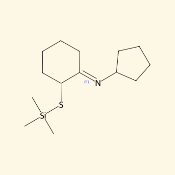 C[Si](C)(C)SC1CCCC/C1=N\C1CCCC1